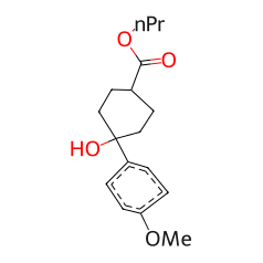 CCCOC(=O)C1CCC(O)(c2ccc(OC)cc2)CC1